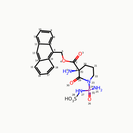 N[C@@]1(C(=O)OCc2c3ccccc3cc3ccccc23)CCCN([P@](N)(=O)NS(=O)(=O)O)C1=O